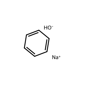 [Na+].[OH-].c1ccccc1